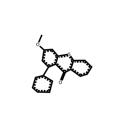 COc1cc(-c2ccccc2)c2c(=O)c3ccccc3sc2c1